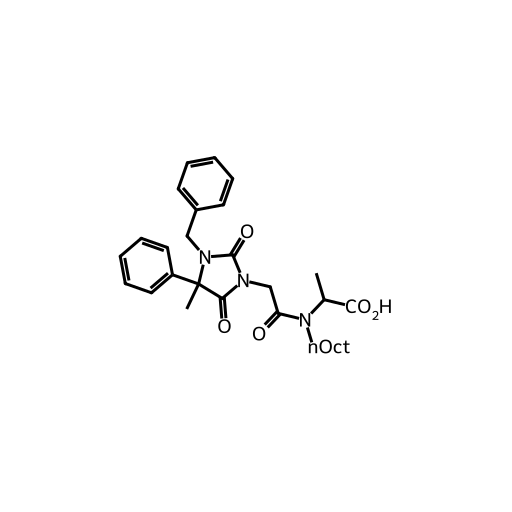 CCCCCCCCN(C(=O)CN1C(=O)N(Cc2ccccc2)C(C)(c2ccccc2)C1=O)C(C)C(=O)O